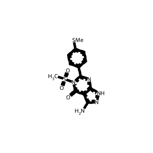 CSc1ccc(-c2nc3[nH]nc(N)c3c(=O)n2S(C)(=O)=O)cc1